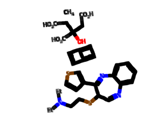 C.CCN(CC)CCSC1C=Nc2ccccc2N=C1c1ccsc1.O=C(O)CC(O)(CC(=O)O)C(=O)O.c1cc2ccc1-2